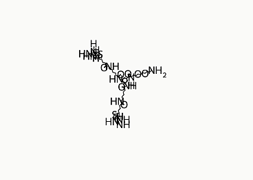 N=C1N[C@H]2[C@H](CS[C@H]2CCCCC(=O)NCCCCCC(=O)Nc2cc(NC(=O)CCCCCNC(=O)CCCC[C@@H]3SCC4NC(=N)N[C@@H]43)cc(C(=O)NCCOCCOCCN)c2)N1